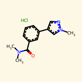 CN(C)C(=O)c1cccc(-c2cnn(C)c2)c1.Cl